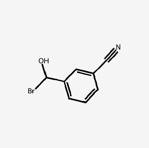 N#Cc1cccc(C(O)Br)c1